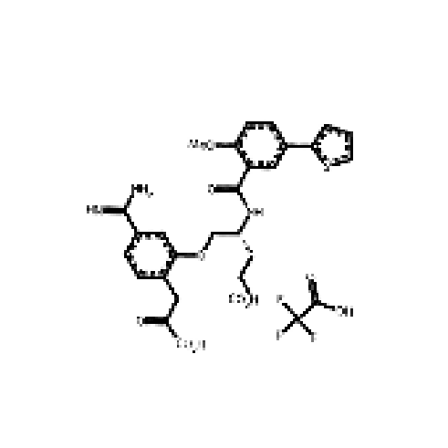 COc1ccc(-c2cccs2)cc1C(=O)N[C@H](CCC(=O)O)COc1cc(C(=N)N)ccc1CC(=O)C(=O)O.O=C(O)C(F)(F)F